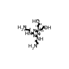 NCCNc1nc(NCCN)nc(N(CCO)CCO)n1